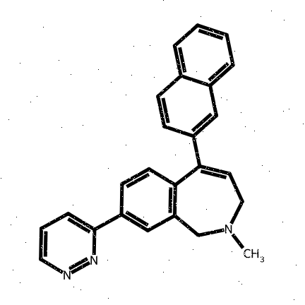 CN1CC=C(c2ccc3ccccc3c2)c2ccc(-c3cccnn3)cc2C1